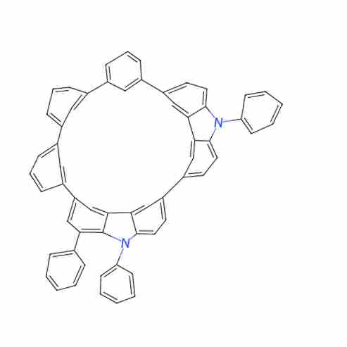 c1ccc(-c2cc3cc4c5cc(ccc5n(-c5ccccc5)c24)c2ccc4c(c2)c2cc(ccc2n4-c2ccccc2)c2cccc(c2)c2cccc(c2)c2cccc3c2)cc1